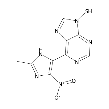 Cc1nc([N+](=O)[O-])c(-c2ncnc3c2ncn3S)[nH]1